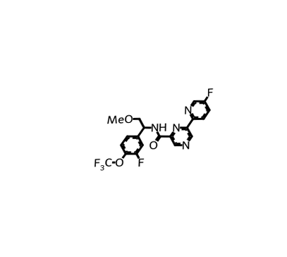 COCC(NC(=O)c1cncc(-c2ccc(F)cn2)n1)c1ccc(OC(F)(F)F)c(F)c1